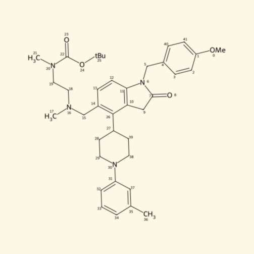 COc1ccc(CN2C(=O)Cc3c2ccc(CN(C)CCN(C)C(=O)OC(C)(C)C)c3C2CCN(c3cccc(C)c3)CC2)cc1